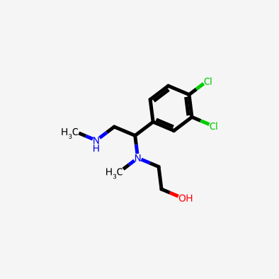 CNCC(c1ccc(Cl)c(Cl)c1)N(C)CCO